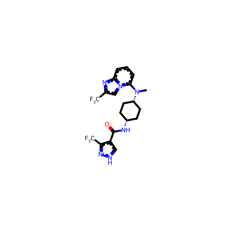 CN(c1cccc2nc(C(F)(F)F)cn12)[C@H]1CC[C@@H](NC(=O)c2c[nH]nc2C(F)(F)F)CC1